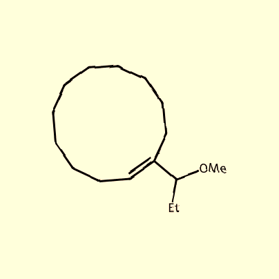 CCC(OC)C1=CCCCCCCCCCC1